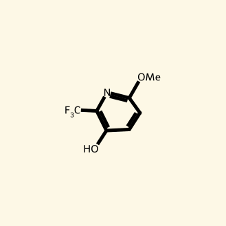 COc1ccc(O)c(C(F)(F)F)n1